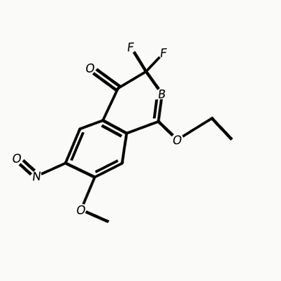 CCOC1=BC(F)(F)C(=O)c2cc(N=O)c(OC)cc21